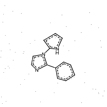 c1ccc(-c2nccn2-c2ccc[nH]2)cc1